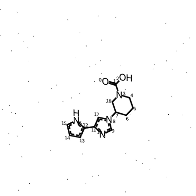 O=C(O)N1CCCC(n2cnc(-c3ccc[nH]3)c2)C1